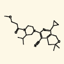 COCCC(=O)N1CCN(c2nc(C3CC3)c3c(c2C#N)CC(C)(C)OC3)CC1C(C)C